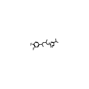 CC(CC(C)c1ccc(F)c(F)c1)Cn1cc(C(C)C)cn1